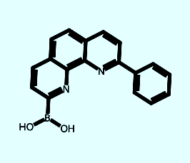 OB(O)c1ccc2ccc3ccc(-c4ccccc4)nc3c2n1